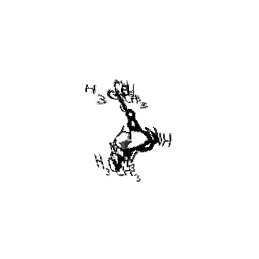 CC(C)N(CCOc1ccc2cc(-c3n[nH]c4ccc(-c5nc(CC(C)(C)C)n[nH]5)cc34)ccc2c1)C(C)C